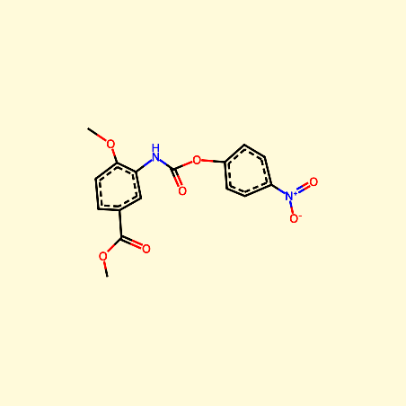 COC(=O)c1ccc(OC)c(NC(=O)Oc2ccc([N+](=O)[O-])cc2)c1